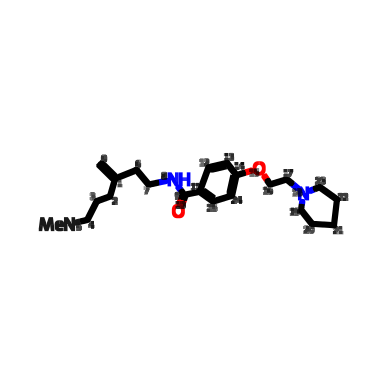 C=C(CCCNC)CCNC(=O)c1ccc(OCCN2CCCCC2)cc1